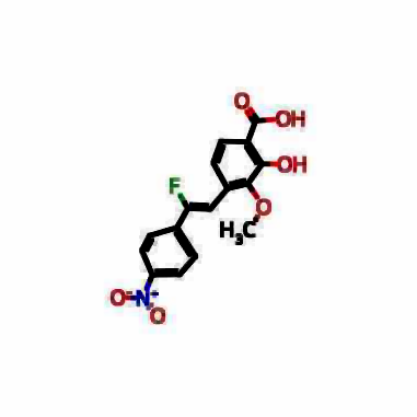 COc1c(/C=C(\F)c2ccc([N+](=O)[O-])cc2)ccc(C(=O)O)c1O